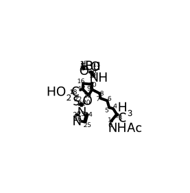 CC(=O)NCC(C)CCCCCC1C(NC(=O)OC(C)(C)C)CC(C(=O)O)C1OC(=S)n1ccnc1